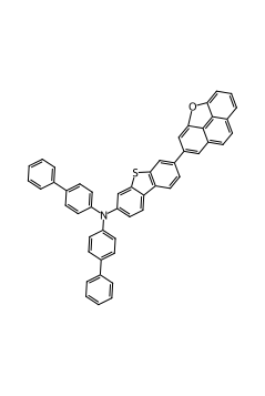 c1ccc(-c2ccc(N(c3ccc(-c4ccccc4)cc3)c3ccc4c(c3)sc3cc(-c5cc6ccc7cccc8oc(c5)c6c78)ccc34)cc2)cc1